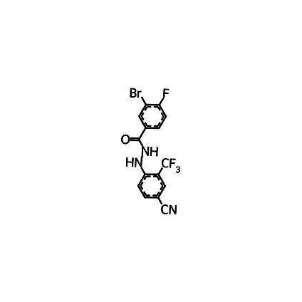 N#Cc1ccc(NNC(=O)c2ccc(F)c(Br)c2)c(C(F)(F)F)c1